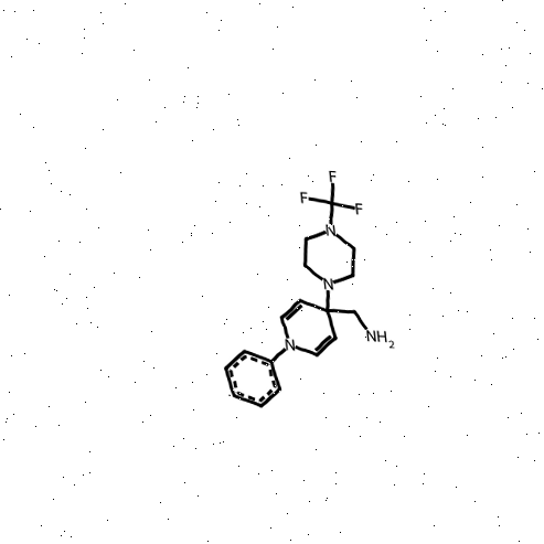 NCC1(N2CCN(C(F)(F)F)CC2)C=CN(c2cc[c]cc2)C=C1